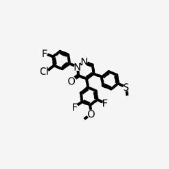 COc1c(F)cc(-c2c(-c3ccc(SC)cc3)cnn(-c3ccc(F)c(Cl)c3)c2=O)cc1F